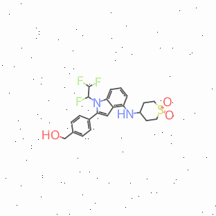 O=S1(=O)CCC(Nc2cccc3c2cc(-c2ccc(CO)cc2)n3C(F)C(F)F)CC1